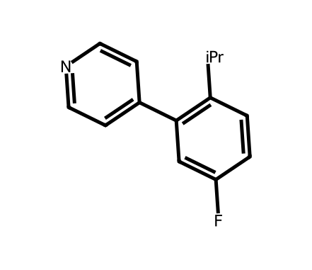 CC(C)c1ccc(F)cc1-c1ccncc1